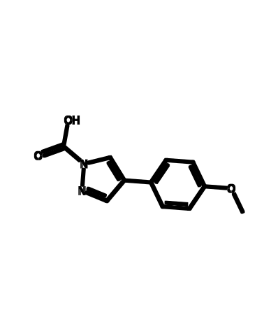 COc1ccc(-c2cnn(C(=O)O)c2)cc1